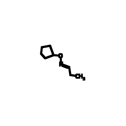 CCC=NOC1CCCC1